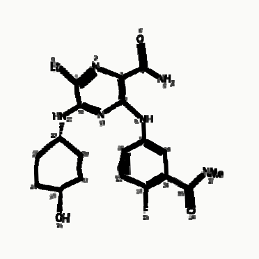 CCc1nc(C(N)=O)c(Nc2ccc(F)c(C(=O)NC)c2)nc1N[C@H]1CC[C@H](O)CC1